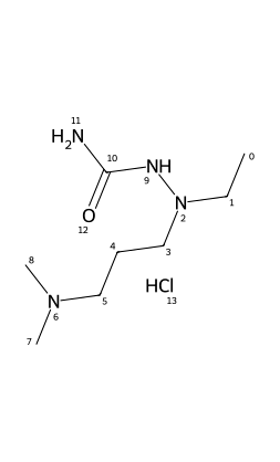 CCN(CCCN(C)C)NC(N)=O.Cl